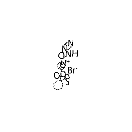 O=C(C[N+]12CCC(CC1)C(OC(=O)C1(c3cccs3)CCCCCC1)C2)Nc1cnccn1.[Br-]